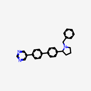 c1ccc(CN2CCCC2c2ccc(-c3ccc(-c4cncnc4)cc3)cc2)cc1